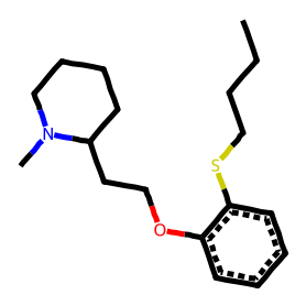 CCCCSc1ccccc1OCCC1CCCCN1C